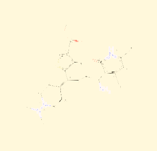 COC(=O)c1csc(C(CCC(N)c2c(C)cc(C)[nH]c2=O)=C2CCN(N(C)C)CC2)c1C